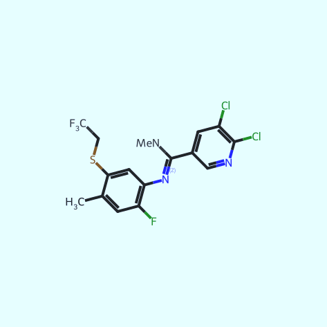 CN/C(=N\c1cc(SCC(F)(F)F)c(C)cc1F)c1cnc(Cl)c(Cl)c1